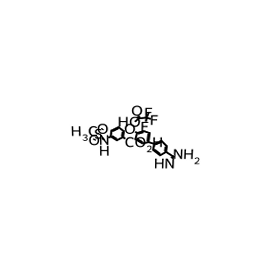 CS(=O)(=O)Nc1ccc(Oc2ccc(-c3ccc(C(=N)N)cc3)cc2)c(C(=O)O)c1.O=C(O)C(F)(F)F